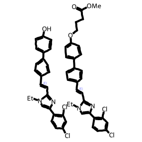 CCn1cc(-c2ccc(Cl)cc2Cl)nc1/C=C/c1ccc(-c2ccc(O)cc2)cc1.CCn1cc(-c2ccc(Cl)cc2Cl)nc1/C=C/c1ccc(-c2ccc(OCCCC(=O)OC)cc2)cc1